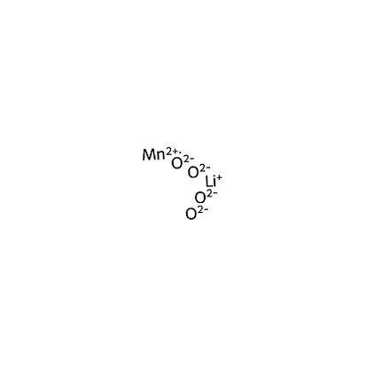 [Li+].[Mn+2].[O-2].[O-2].[O-2].[O-2]